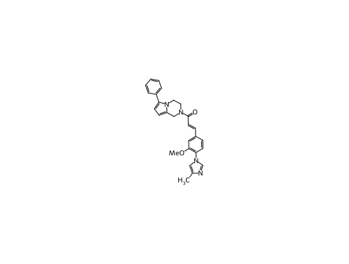 COc1cc(C=CC(=O)N2CCn3c(ccc3-c3ccccc3)C2)ccc1-n1cnc(C)c1